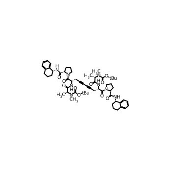 C[C@@H](C(=O)N[C@@H](CC#CC#CC[C@H](NC(=O)[C@H](C)N(C)C(=O)OC(C)(C)C)C(=O)N1CCC[C@H]1C(=O)N[C@@H]1CCCc2ccccc21)C(=O)N1CCC[C@H]1C(=O)N[C@@H]1CCCc2ccccc21)N(C)C(=O)OC(C)(C)C